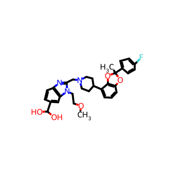 COCCn1c(CN2CCC(c3cccc4c3OC(C)(c3ccc(F)cc3)O4)CC2)nc2ccc(C(O)O)cc21